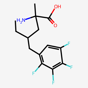 CCC(Cc1cc(F)c(F)c(F)c1F)CC(C)(N)C(=O)O